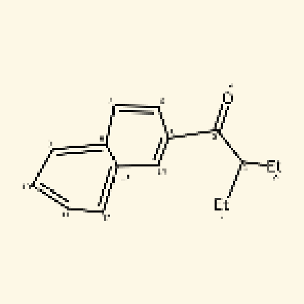 CCC(CC)C(=O)c1ccc2ccccc2c1